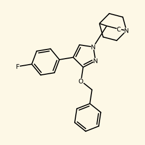 Fc1ccc(-c2cn(C3CN4CCC3CC4)nc2OCc2ccccc2)cc1